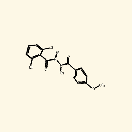 CCN(C(=O)c1c(Cl)cccc1Cl)N(C(=O)c1ccc(OC(F)(F)F)cc1)C(C)C